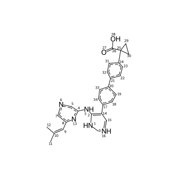 CN/C(Nc1cncc(C=C(C)C)n1)=C(\C=N)c1ccc(-c2ccc(C3(C(=O)O)CC3)cc2)cc1